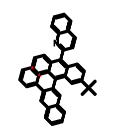 CC(C)(C)c1ccc2c(-c3ccc4ccccc4n3)c3ccccc3c(-c3cc4ccccc4cc3-c3ccccc3)c2c1